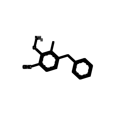 Cc1c(Cc2ccccc2)ccc(C=O)c1ON